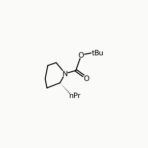 CCC[C@@H]1CCCCN1C(=O)OC(C)(C)C